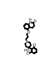 O=C1CCc2c(cccc2OCCCN2CCC(O)(c3c(Cl)cccc3Cl)CC2)N1